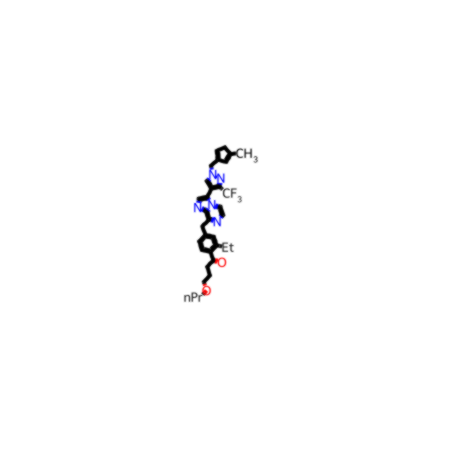 CCCOCCCC(=O)c1ccc(Cc2nccn3c(-c4cn(CC5=CCC(C)=C5)nc4C(F)(F)F)cnc23)cc1CC